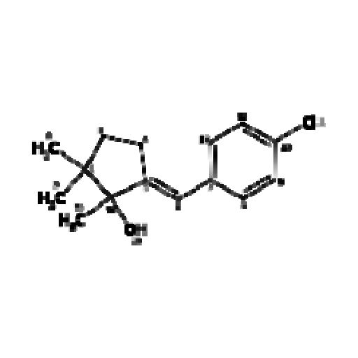 CC1(C)CC/C(=C\c2ccc(Cl)cc2)C1(C)O